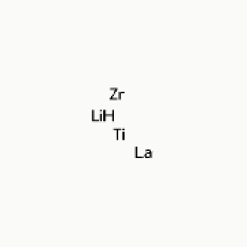 [La].[LiH].[Ti].[Zr]